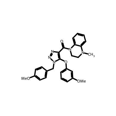 COc1ccc(Cn2nnc(C(=O)N3CCN(C)c4ccccc43)c2Oc2cccc(OC)c2)cc1